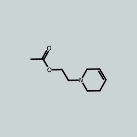 CC(=O)OCCN1CC=CCC1